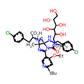 CCOc1cc(C(C)(C)C)ncc1C1=N[C@](C)(N[C@@H](Cc2ccc(Cl)cc2)C(=O)O)[C@](C)(N[C@@H](Cc2ccc(Cl)cc2)C(=O)O)N1C(=O)N(C)CC(O)C(O)[C@H](O)[C@H](O)CO